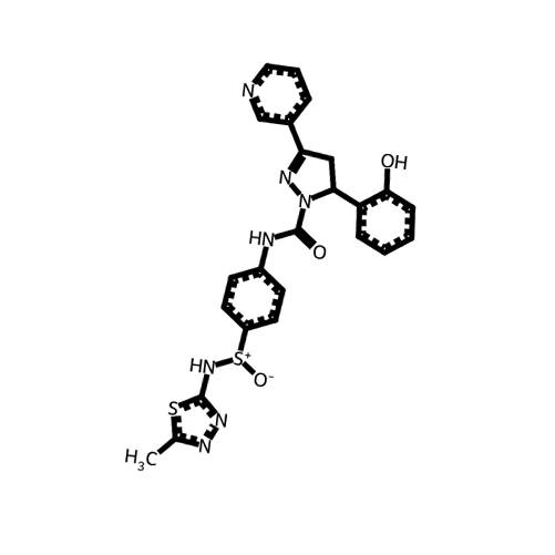 Cc1nnc(N[S+]([O-])c2ccc(NC(=O)N3N=C(c4cccnc4)CC3c3ccccc3O)cc2)s1